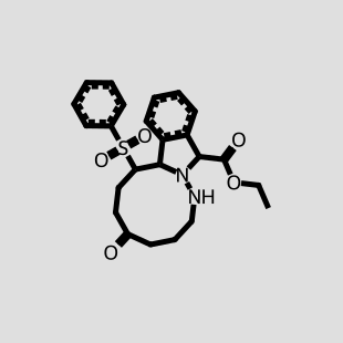 CCOC(=O)C1c2ccccc2C2C(S(=O)(=O)c3ccccc3)CCC(=O)CCCNN12